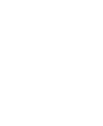 CC(C)C1=CC(O)C=C1